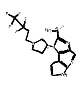 C[C@@H](O)c1nc2cnc3[nH]ccc3c2n1[C@H]1CCN(CCC(F)(F)C(F)(F)F)C1